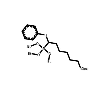 CCCCCCCCCCCCCCCC(Oc1ccccc1)[Si](OCC)(OCC)OCC